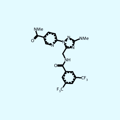 CNC(=O)c1ccc(-n2nc(NC)nc2CNC(=O)c2cc(C(F)(F)F)cc(C(F)(F)F)c2)nc1